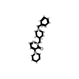 O=c1c(N2CCCCC2)ccnn1CC1CCN(Cc2ccccc2)CC1